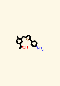 C=C(O)c1ccc(C)c(Cc2ccc(-c3ccc(N)cc3)s2)c1